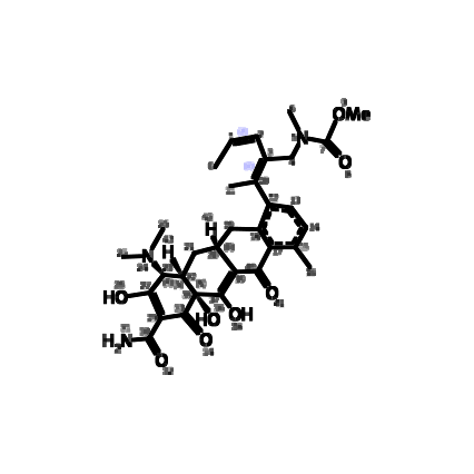 C/C=C\C(CN(C)C(=O)OC)=C(/C)c1ccc(C)c2c1C[C@H]1C[C@H]3[C@H](N(C)C)C(O)=C(C(N)=O)C(=O)[C@@]3(O)C(O)=C1C2=O